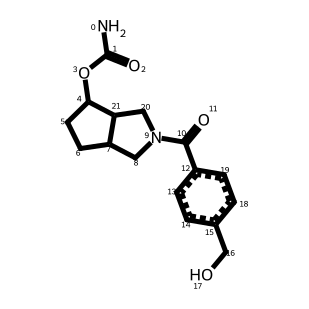 NC(=O)OC1CCC2CN(C(=O)c3ccc(CO)cc3)CC21